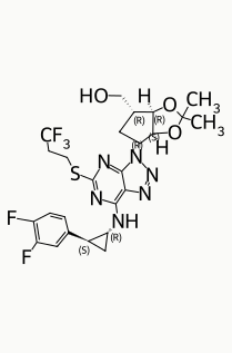 CC1(C)O[C@@H]2[C@@H](CO)C[C@@H](n3nnc4c(N[C@@H]5C[C@H]5c5ccc(F)c(F)c5)nc(SCCC(F)(F)F)nc43)[C@@H]2O1